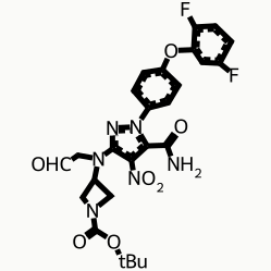 CC(C)(C)OC(=O)N1CC(N(CC=O)c2nn(-c3ccc(Oc4cc(F)ccc4F)cc3)c(C(N)=O)c2[N+](=O)[O-])C1